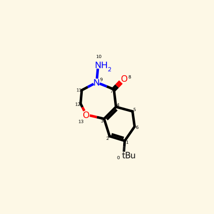 CC(C)(C)C1=CC2=C(CC1)C(=O)N(N)CCO2